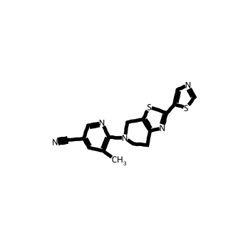 Cc1cc(C#N)cnc1N1CCc2nc(-c3cncs3)sc2C1